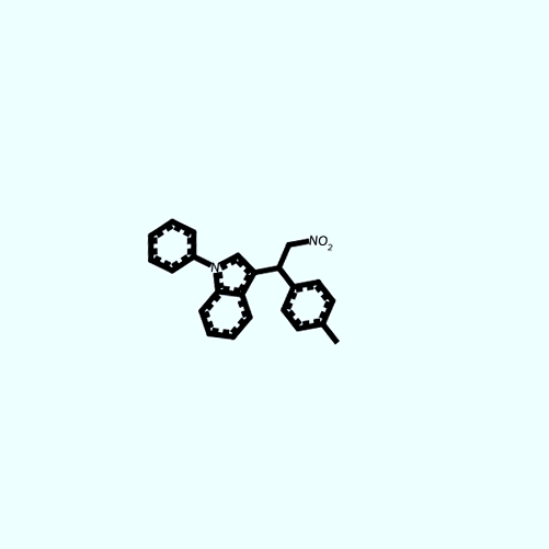 Cc1ccc(C(C[N+](=O)[O-])c2cn(-c3ccccc3)c3ccccc23)cc1